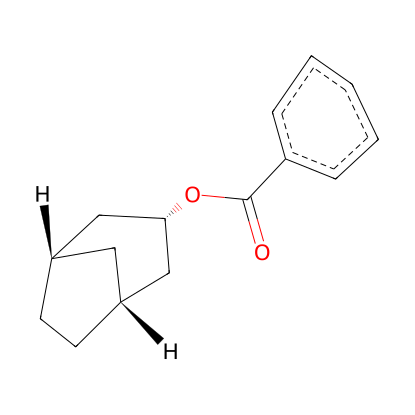 O=C(O[C@@H]1C[C@@H]2CC[C@@H](C2)C1)c1ccccc1